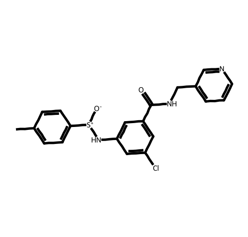 Cc1ccc([S+]([O-])Nc2cc(Cl)cc(C(=O)NCc3cccnc3)c2)cc1